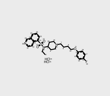 CCN(C1CCN(CCCCOc2ccc(F)cc2)CC1)S(=O)(=O)c1cccc2cnccc12.Cl.Cl